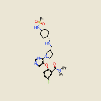 CCS(=O)(=O)N[C@H]1CC[C@H](CNC[C@@H]2CCN(c3ncncc3Oc3ccc(F)cc3C(=O)N(C(C)C)C(C)C)C2)CC1